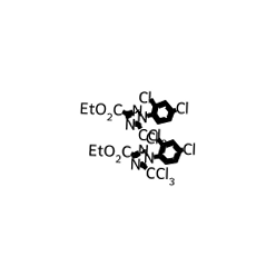 CCOC(=O)c1nc(C(Cl)(Cl)Cl)n(-c2ccc(Cl)cc2Cl)n1.CCOC(=O)c1nc(C(Cl)(Cl)Cl)n(-c2ccc(Cl)cc2Cl)n1